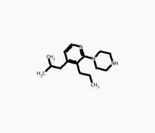 CCCc1c(CC(C)C)ccnc1N1CCNCC1